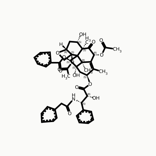 CC(=O)O[C@H]1C(=O)[C@]2(C)[C@@H](O)C[C@H]3OC[C@@]3(OC(C)=O)C23[C@H](OC(=O)c2ccccc2)[C@]2(O)C[C@H](OC(=O)[C@H](O)[C@@H](NC(=O)Cc4ccccc4)c4ccccc4)C(C)=C1[C@]32C